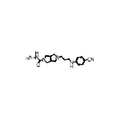 CCCNC(=O)N1CC2CN(CCCNc3ccc(C#N)cc3)CC2C1